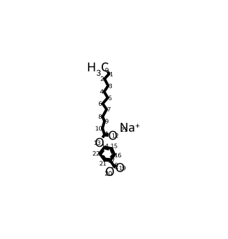 CCCCCCCCCCCC(=O)Oc1ccc(C(=O)[O-])cc1.[Na+]